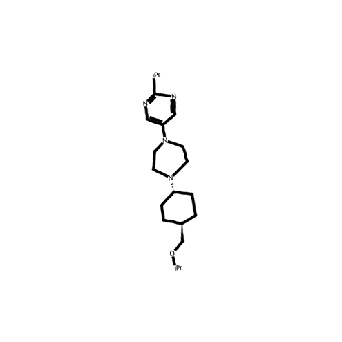 CC(C)OC[C@H]1CC[C@H](N2CCN(c3cnc(C(C)C)nc3)CC2)CC1